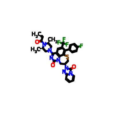 C=CC(=O)N1[C@H](C)CN(c2nc(=O)n3c4c(c(-c5ccc(F)cc5)c(C(F)(F)F)cc24)SC[C@@H](n2nc4ccccn4c2=O)C3)C[C@@H]1C